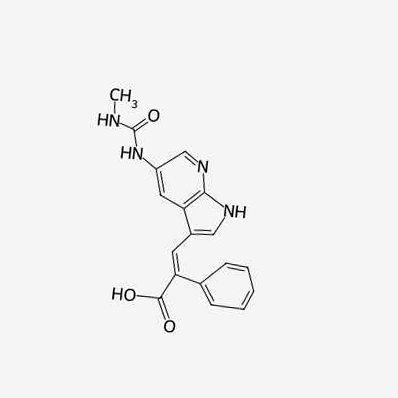 CNC(=O)Nc1cnc2[nH]cc(/C=C(/C(=O)O)c3ccccc3)c2c1